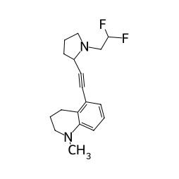 CN1CCCc2c(C#CC3CCCN3CC(F)F)cccc21